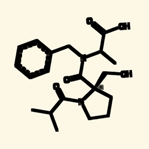 CC(C)C(=O)N1CCC[C@@]1(CO)C(=O)N(Cc1ccccc1)C(C)C(=O)O